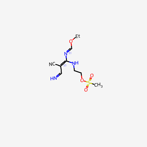 CCO/C=N/C(NCCOS(C)(=O)=O)=C(\C#N)C=N